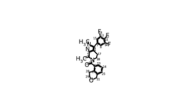 C[C@H]1c2nn(C)c(-c3cc(F)c(F)c(F)c3)c2CCN1C(=O)c1cccc2c1CCOC2